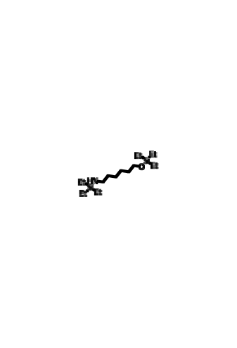 CC[Si](CC)(CC)NCCCCCCO[Si](CC)(CC)CC